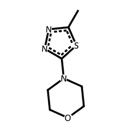 Cc1nnc(N2CCOCC2)s1